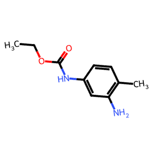 CCOC(=O)Nc1ccc(C)c(N)c1